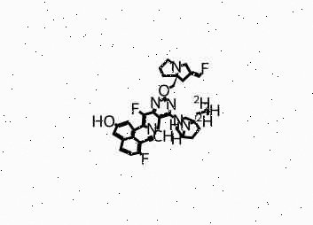 [2H]C([2H])([2H])C[C@@]12CC[C@@H](CN(c3nc(OC[C@@]45CCCN4C/C(=C\F)C5)nc4c(F)c(-c5cc(O)cc6ccc(F)c(C#C)c56)ncc34)C1)N2